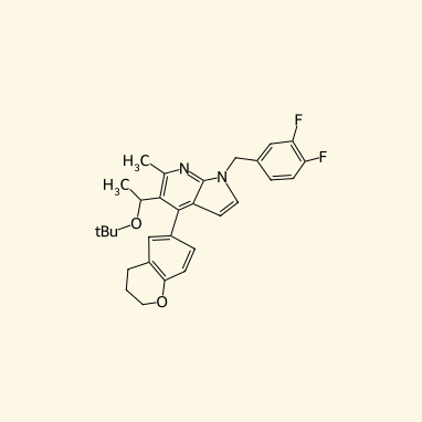 Cc1nc2c(ccn2Cc2ccc(F)c(F)c2)c(-c2ccc3c(c2)CCCO3)c1C(C)OC(C)(C)C